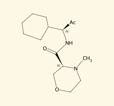 CC(=O)[C@@H](NC(=O)[C@@H]1COCCN1C)C1CCCCC1